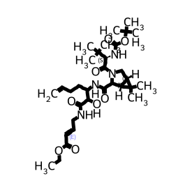 C=CCCC(NC(=O)C1[C@@H]2[C@H](CN1C(=O)[C@@H](NC(=O)OC(C)(C)C)C(C)(C)C)C2(C)C)C(O)C(=O)NC/C=C/C(=O)OCC